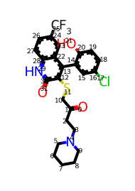 O=C(CCN1CCCCC1)CSc1c(-c2cc(Cl)ccc2O)c2cc(C(F)(F)F)ccc2[nH]c1=O